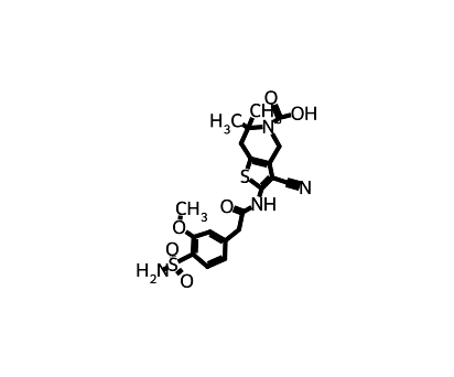 COc1cc(CC(=O)Nc2sc3c(c2C#N)CN(C(=O)O)C(C)(C)C3)ccc1S(N)(=O)=O